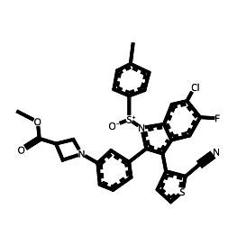 COC(=O)C1CN(c2cccc(-c3c(-c4ccsc4C#N)c4cc(F)c(Cl)cc4n3[S+]([O-])c3ccc(C)cc3)c2)C1